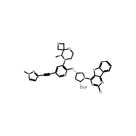 C[C@@H]1N(c2cc(C#Cc3ccn(C)n3)cnc2O[C@H]2C[C@@H](C(=O)O)N(c3nc(Cl)nc4c3oc3ccccc34)C2)CCOC12COC2